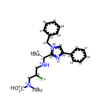 CC(C)(C)[C@@H](NCC(F)CN(C(=O)O)C(C)(C)C)c1nc(-c2ccccc2)cn1Cc1ccccc1